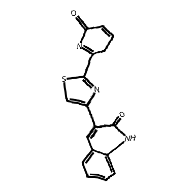 O=C1C=CCC(c2nc(-c3cc4ccccc4[nH]c3=O)cs2)=N1